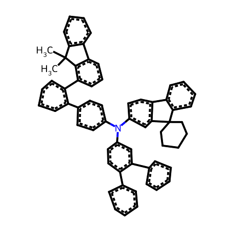 CC1(C)c2ccccc2-c2cccc(-c3ccccc3-c3ccc(N(c4ccc(-c5ccccc5)c(-c5ccccc5)c4)c4ccc5c(c4)C4(CCCCC4)c4ccccc4-5)cc3)c21